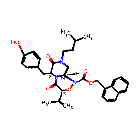 CC(C)CCN1C[C@@H]2N(C(=O)OCc3cccc4ccccc34)O[C@@H](C(C)C)C(=O)N2[C@@H](Cc2ccc(O)cc2)C1=O